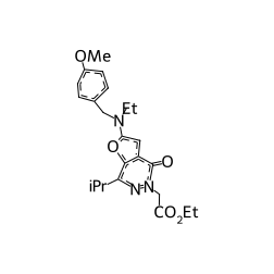 CCOC(=O)Cn1nc(C(C)C)c2oc(N(CC)Cc3ccc(OC)cc3)cc2c1=O